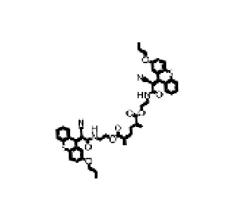 C=C(CCC(=C)C(=O)OCCNC(=O)/C(C#N)=C1\c2ccccc2Sc2ccc(OCCC)cc21)C(=O)OCCNC(=O)/C(C#N)=C1/c2ccccc2Sc2ccc(OCCC)cc21